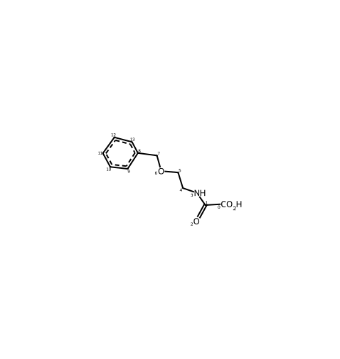 O=C(O)C(=O)NCCOCc1ccccc1